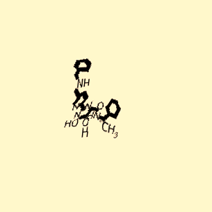 C[C@@H](NC(=O)c1nc(-c2ccc(CNCc3ccccc3)cn2)nc(O)c1O)C1CCCCC1